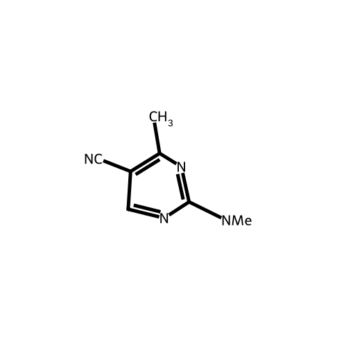 CNc1ncc(C#N)c(C)n1